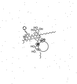 CCCCCCCCCCCC(=O)O[C@H]1[C@H](O[C@@H]2[C@@H](O)[C@H]3OC(=O)CCCCCCCCC[C@H](CCCCC)O[C@@H]4O[C@H](CO)[C@@H](O)[C@H](O)[C@H]4O[C@@H]3O[C@H]2C)O[C@@H](C)[C@H](O[C@@H]2O[C@@H](C)[C@H](OC(=O)C(C)CC)[C@@H](O)[C@H]2OC(=O)/C=C/c2ccccc2)[C@H]1O[C@@H]1O[C@@H](C)[C@H](O)[C@@H](O)[C@H]1O